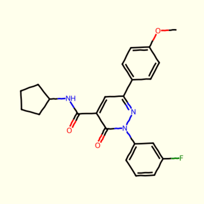 COc1ccc(-c2cc(C(=O)NC3CCCC3)c(=O)n(-c3cccc(F)c3)n2)cc1